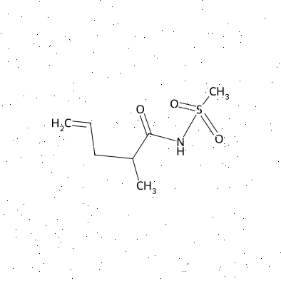 C=CCC(C)C(=O)NS(C)(=O)=O